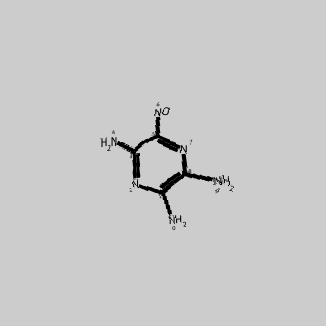 Nc1nc(N)c(N=O)nc1N